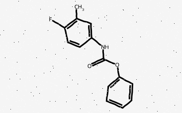 Cc1cc(NC(=O)Oc2ccccc2)ccc1F